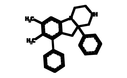 Cc1cc2c(c(-c3ccccc3)c1C)CC1(c3ccccc3)CNCCN21